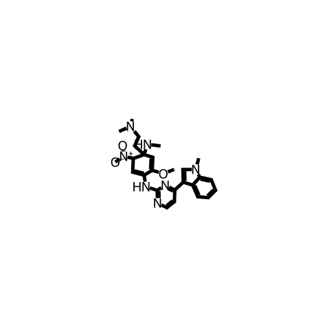 CNC1(CCN(C)C)C=C(OC)C(Nc2nccc(-c3cn(C)c4ccccc34)n2)=CC1[N+](=O)[O-]